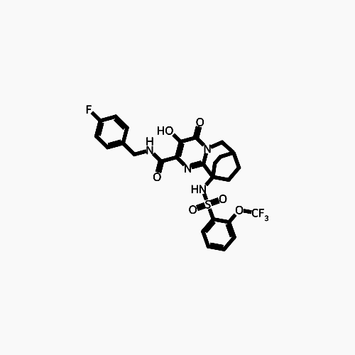 O=C(NCc1ccc(F)cc1)c1nc2n(c(=O)c1O)CC1CCC2(NS(=O)(=O)c2ccccc2OC(F)(F)F)CC1